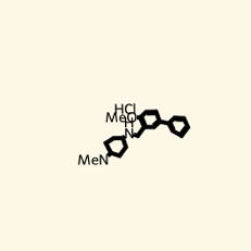 CNC1CCC(NCc2cc(-c3ccccc3)ccc2OC)CC1.Cl